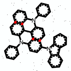 c1ccc(N(c2ccccc2)c2ccccc2-c2ccccc2N(c2ccccc2)c2ccc(-n3c4ccccc4c4ccccc43)cc2)cc1